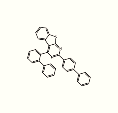 c1ccc(-c2ccc(-c3nc(-c4ccccc4-c4ccccc4)c4c(n3)sc3ccccc34)cc2)cc1